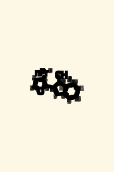 CCCc1ccoc1C1=Cc2ccccc2[C]1C